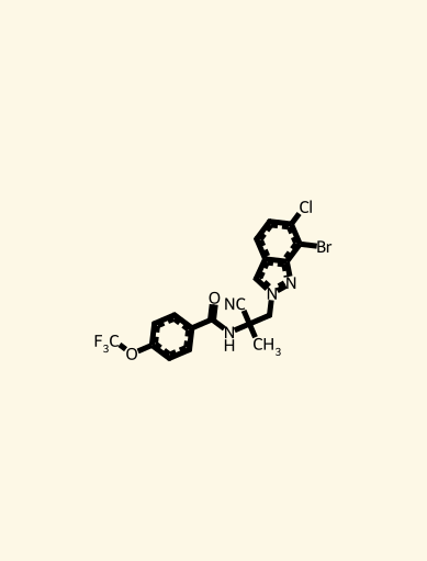 CC(C#N)(Cn1cc2ccc(Cl)c(Br)c2n1)NC(=O)c1ccc(OC(F)(F)F)cc1